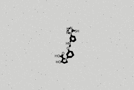 O=C(O)C1C(O)CCN1c1cccc(OCNc2cccc(-n3nnnc3S)c2)c1